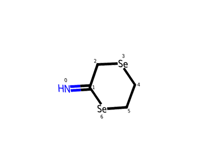 N=C1C[Se]CC[Se]1